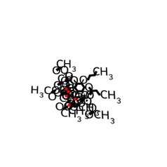 CCCCO[C@H]1[C@@H](OC(=O)CCC)[C@H](OP(=O)(OCOC(C)=O)OCOC(C)=O)[C@@H](OP(=O)(OCOC(C)=O)OCOC(C)=O)[C@H](OP(=O)(OCOC(C)=O)OCOC(C)=O)[C@H]1OP(=O)(OCOC(C)=O)OCOC(C)=O